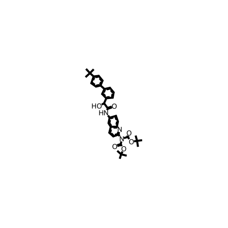 CC(C)(C)OC(=O)N(C(=O)OC(C)(C)C)c1ccc2cc(NC(=O)C(O)c3cccc(-c4ccc(C(C)(C)C)cc4)c3)ccc2n1